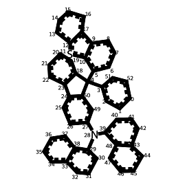 c1ccc(C2(c3cccc4c3sc3ccccc34)c3ccccc3-c3ccc(N(c4cccc5ccccc45)c4cccc5ccccc45)cc32)cc1